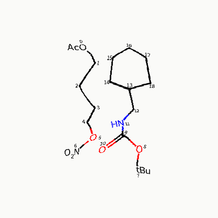 CC(=O)OCCCCO[N+](=O)[O-].CC(C)(C)OC(=O)NCC1CCCCC1